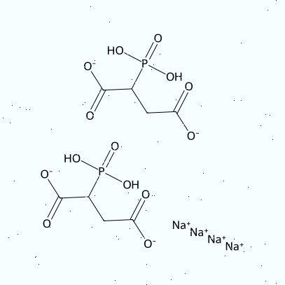 O=C([O-])CC(C(=O)[O-])P(=O)(O)O.O=C([O-])CC(C(=O)[O-])P(=O)(O)O.[Na+].[Na+].[Na+].[Na+]